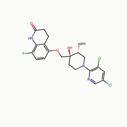 CN[C@@H]1CN(c2ncc(Cl)cc2Cl)CC[C@]1(O)COc1ccc(F)c2c1CCC(=O)N2